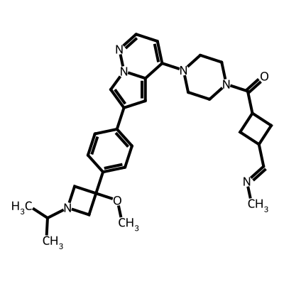 CN=CC1CC(C(=O)N2CCN(c3ccnn4cc(-c5ccc(C6(OC)CN(C(C)C)C6)cc5)cc34)CC2)C1